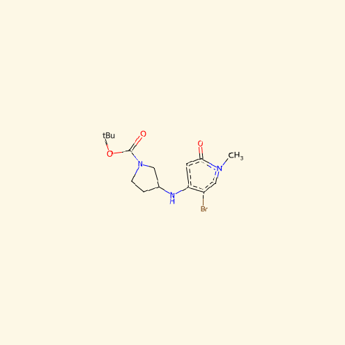 Cn1cc(Br)c(NC2CCN(C(=O)OC(C)(C)C)C2)cc1=O